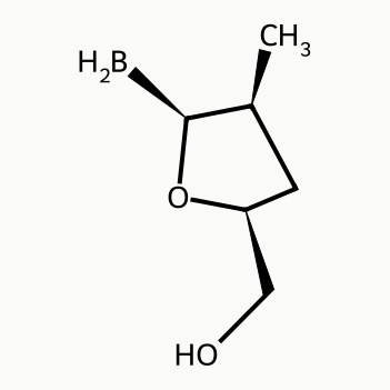 B[C@@H]1O[C@H](CO)C[C@@H]1C